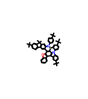 CC(C)(C)c1ccc(N2B3c4cc(C(C)(C)C)ccc4-n4c5ccc(C(C)(C)C)cc5c5c6c(oc7ccccc76)c(c3c54)-c3cc4c(cc32)C(C)(C)c2cc(C(C)(C)C)ccc2-4)cc1